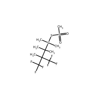 CC(C(F)(F)F)(C(F)(F)F)C(C)(C)[Si](C)(C)SS(C)(=O)=O